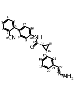 N#Cc1ccccc1-c1ccc(NC(=O)[C@@H]2C[C@@H]2c2cccc(C=NN)c2)cc1